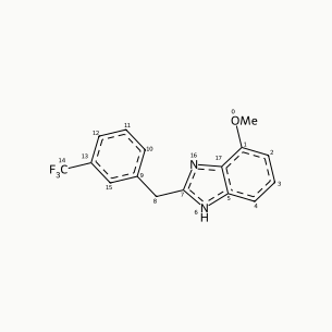 COc1cccc2[nH]c(Cc3cccc(C(F)(F)F)c3)nc12